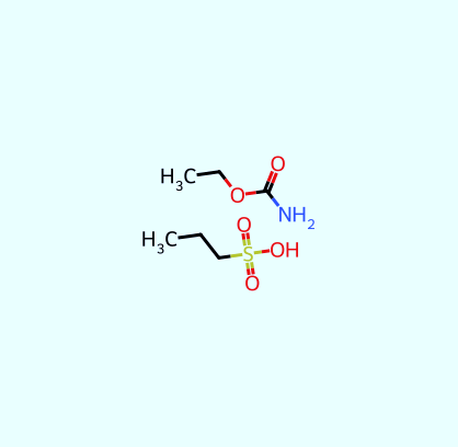 CCCS(=O)(=O)O.CCOC(N)=O